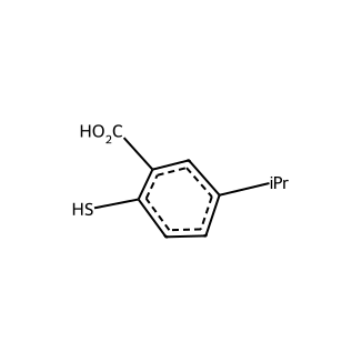 CC(C)c1ccc(S)c(C(=O)O)c1